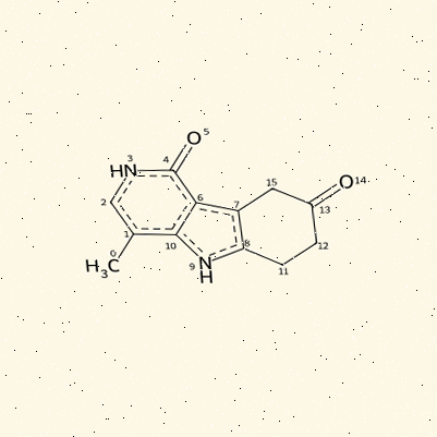 Cc1c[nH]c(=O)c2c3c([nH]c12)CCC(=O)C3